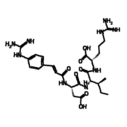 CC[C@H](C)[C@H](NC(=O)[C@H](CC(=O)O)NC(=O)C=Cc1ccc(NC(=N)N)cc1)C(=O)N[C@@H](CCCNC(=N)N)C(=O)O